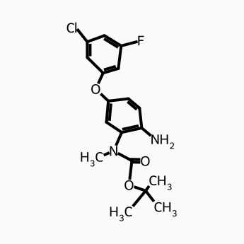 CN(C(=O)OC(C)(C)C)c1cc(Oc2cc(F)cc(Cl)c2)ccc1N